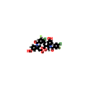 CCCC(C(=O)OC(=O)Cc1c(C)n(C(=O)c2ccc(Cl)c(F)c2)c2ccc(O)cc12)c1c(C)n(C(=O)c2ccc(Cl)c(F)c2)c2ccc(O)cc12